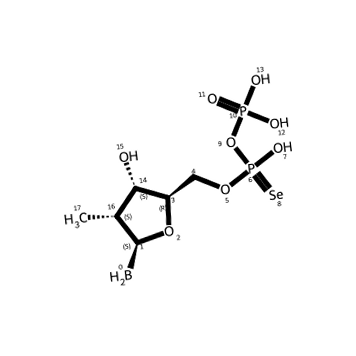 B[C@@H]1O[C@H](COP(O)(=[Se])OP(=O)(O)O)[C@@H](O)[C@H]1C